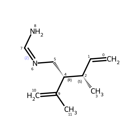 C=C[C@H](C)[C@@H](C/N=C\N)C(=C)C